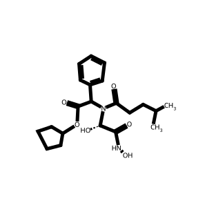 CC(C)CCC(=O)N(C(C(=O)OC1CCCC1)c1ccccc1)[C@@H](O)C(=O)NO